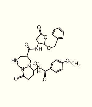 COc1ccc(C(=O)NC2CCC(=O)N3CNCC(C(=O)NC4CC(=O)OC4OCc4ccccc4)C[N+]23[O-])cc1